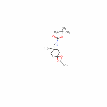 CC1OC2(CCC(C)(CNC(=O)OC(C)(C)C)CC2)O1